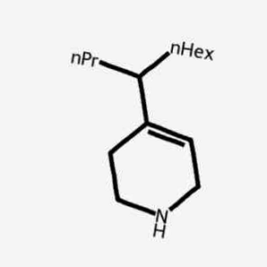 CCCCCCC(CCC)C1=CCNCC1